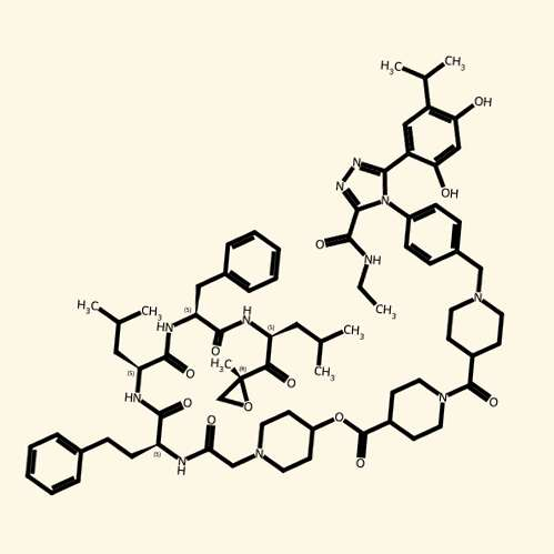 CCNC(=O)c1nnc(-c2cc(C(C)C)c(O)cc2O)n1-c1ccc(CN2CCC(C(=O)N3CCC(C(=O)OC4CCN(CC(=O)N[C@@H](CCc5ccccc5)C(=O)N[C@@H](CC(C)C)C(=O)N[C@@H](Cc5ccccc5)C(=O)N[C@@H](CC(C)C)C(=O)[C@@]5(C)CO5)CC4)CC3)CC2)cc1